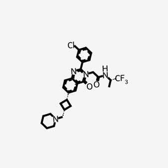 C[C@H](NC(=O)Cn1c(-c2cccc(Cl)c2)nc2ccc([C@H]3C[C@@H](CN4CCCCC4)C3)cc2c1=O)C(F)(F)F